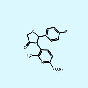 CCOC(=O)c1ccc(N2C(=O)CSC2c2ccc(F)cc2)c(C)n1